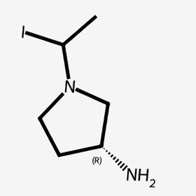 CC(I)N1CC[C@@H](N)C1